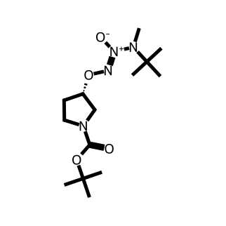 CN(/[N+]([O-])=N/O[C@H]1CCN(C(=O)OC(C)(C)C)C1)C(C)(C)C